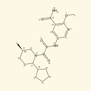 COc1ncc(NC(=O)C(=O)N2C[C@H](C)CCC2C2CCCC2)cc1C(N)=O